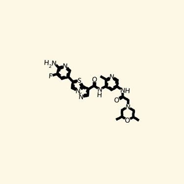 Cc1ncc(NC(=O)CN2CC(C)OC(C)C2)cc1NC(=O)c1cnn2cc(-c3cnc(N)c(F)c3)sc12